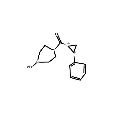 CCCN1CCN(C(=O)[C@@H]2C[C@H]2c2ccccc2)CC1